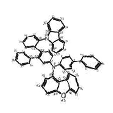 c1ccc(-c2ccc(N(c3ccc(-c4ccccc4-n4c5ccccc5c5ccccc54)c(-c4ccccc4)c3)c3cccc4oc5ccccc5c34)cc2)cc1